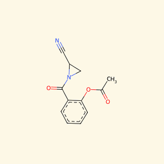 CC(=O)Oc1ccccc1C(=O)N1CC1C#N